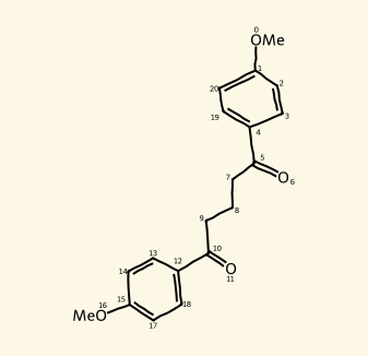 COc1ccc(C(=O)CCCC(=O)c2ccc(OC)cc2)cc1